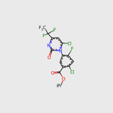 CC(C)OC(=O)c1cc(-n2c(Cl)cc(C(F)(F)C(F)(F)F)nc2=O)c(F)cc1Cl